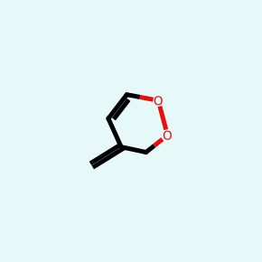 C=C1C=COOC1